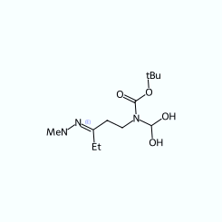 CC/C(CCN(C(=O)OC(C)(C)C)C(O)O)=N\NC